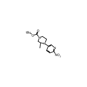 CC1CN(C(=O)OC(C)(C)C)CCN1c1ccc([N+](=O)[O-])nc1